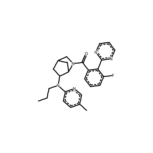 CCCN(c1ccc(C)cn1)C1CC2CC1N(C(=O)c1cccc(F)c1-c1ncccn1)C2